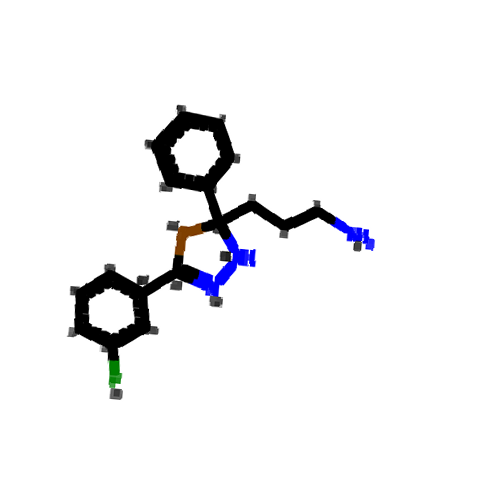 NCCCC1(c2ccccc2)NN=C(c2cccc(F)c2)S1